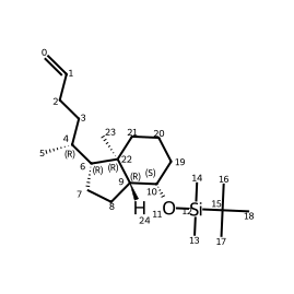 C=CCC[C@@H](C)[C@H]1CC[C@H]2[C@@H](O[Si](C)(C)C(C)(C)C)CCC[C@]12C